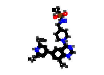 COc1cc(-c2cc(C)c3ncnc(N4CCC(CNS(C)(=O)=O)CC4)c3c2)cc(C)n1